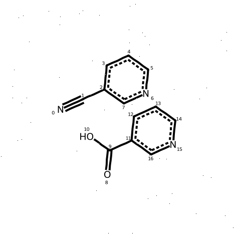 N#Cc1cccnc1.O=C(O)c1cccnc1